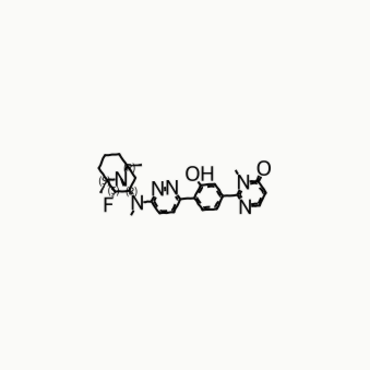 CN(c1ccc(-c2ccc(-c3nccc(=O)n3C)cc2O)nn1)[C@@H]1C[C@@]2(C)CCC[C@@](C)([C@H]1F)N2C